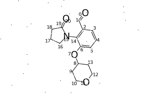 O=Cc1cccc(OC2CCOCC2)c1N1CCCC1=O